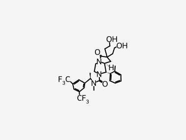 Cc1ccccc1[C@H]1[C@@H]2CC(CCO)(CCO)C(=O)N2CCN1C(=O)N(C)[C@H](C)c1cc(C(F)(F)F)cc(C(F)(F)F)c1